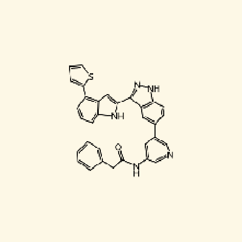 O=C(Cc1ccccc1)Nc1cncc(-c2ccc3[nH]nc(-c4cc5c(-c6cccs6)cccc5[nH]4)c3c2)c1